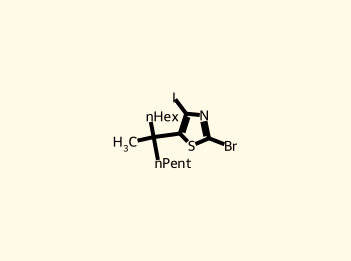 CCCCCCC(C)(CCCCC)c1sc(Br)nc1I